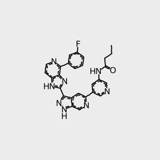 CCCC(=O)Nc1cncc(-c2cc3c(-c4nc5c(-c6cccc(F)c6)nccc5[nH]4)n[nH]c3cn2)c1